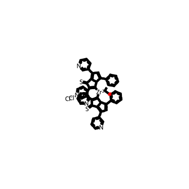 C[C](C)=[Zr+2]([C]1=C(c2cccnc2)C(=S)C2=C(c3cccnc3)C=C(c3ccccc3)C21)[C]1=C(c2cccnc2)C(=S)C2=C(c3cccnc3)C=C(c3ccccc3)C21.[Cl-].[Cl-]